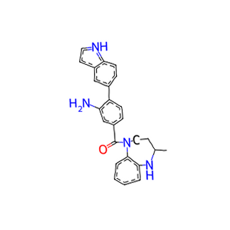 CC1CCN(C(=O)c2ccc(-c3ccc4[nH]ccc4c3)c(N)c2)c2ccccc2N1